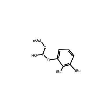 CCCCCCCCOP(O)Oc1cccc(C(C)(C)C)c1C(C)(C)C